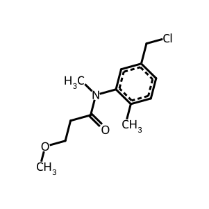 COCCC(=O)N(C)c1cc(CCl)ccc1C